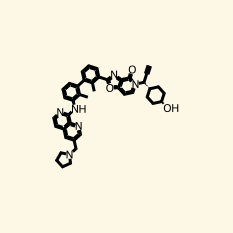 C#CC([C@H]1CC[C@H](O)CC1)n1ccc2oc(-c3cccc(-c4cccc(Nc5nccc6cc(CN7CCCC7)cnc56)c4C)c3C)nc2c1=O